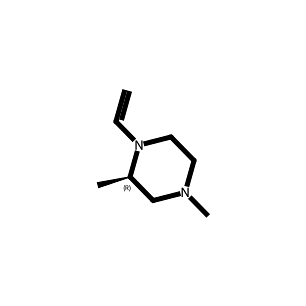 C=CN1CCN(C)C[C@H]1C